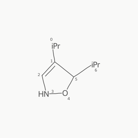 CC(C)C1=CNOC1C(C)C